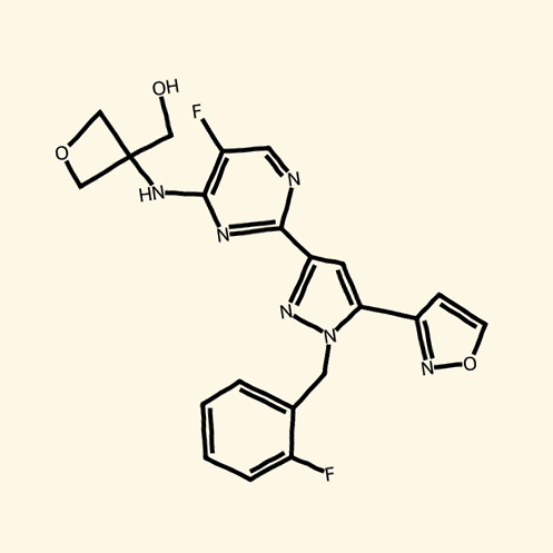 OCC1(Nc2nc(-c3cc(-c4ccon4)n(Cc4ccccc4F)n3)ncc2F)COC1